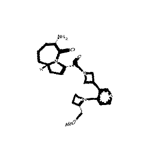 COC[C@@H]1CCN1c1ccncc1C1CN(C(=O)[C@@H]2CC[C@@H]3CCC[C@H](N)C(=O)N32)C1